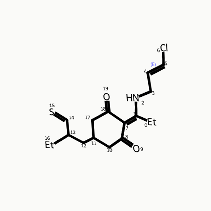 CCC(NC/C=C/Cl)=C1C(=O)CC(CC(C=S)CC)CC1=O